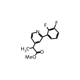 COC(=O)C(C)c1ccnc(-c2cccc(F)c2F)c1